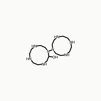 OC1CNCCNCCNCCN1N1CCNCCNCCNCC1